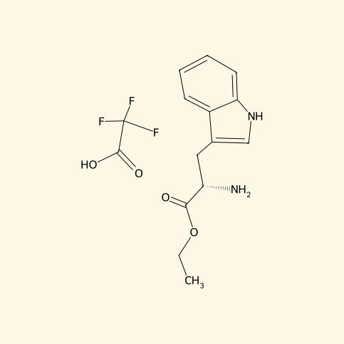 CCOC(=O)[C@@H](N)Cc1c[nH]c2ccccc12.O=C(O)C(F)(F)F